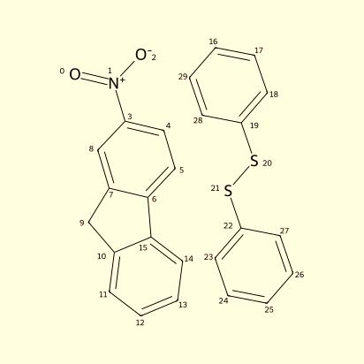 O=[N+]([O-])c1ccc2c(c1)Cc1ccccc1-2.c1ccc(SSc2ccccc2)cc1